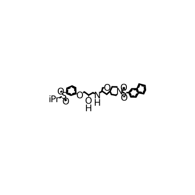 CC(C)S(=O)(=O)c1cccc(OC[C@@H](O)CNC2COC3(CCN(S(=O)(=O)c4ccc5ccccc5c4)CC3)C2)c1